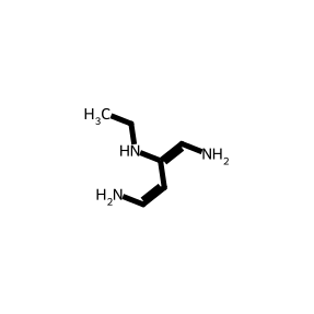 CCNC(/C=C\N)=C/N